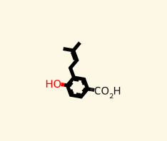 CC(C)=CCc1cc(C(=O)O)ccc1O